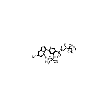 CC(C)(C#N)Nc1cc(-c2ccc3cc(C#N)cnn23)ncc1C(=O)NC[C@@H](F)C(C)(C)O